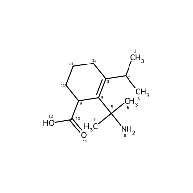 CC(C)C1=C(C(C)(C)N)C(C(=O)O)CCC1